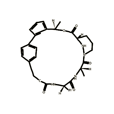 CC(C)[C@@H]1NC(=O)CCc2ccc(cc2)-c2cccc(c2)[C@@H](C)OC(=O)[C@@H]2CCCN(N2)C(=O)[C@H](C)NC1=O